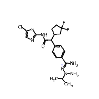 CC(C)N(N)/N=C(\N)c1ccc(C(C(=O)Nc2ncc(Cl)s2)C2CCC(F)(F)C2)cc1